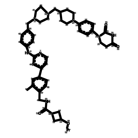 Cc1cc(-c2ccnc(Nc3ccc(CN4CCN(CC5CCN(c6ccc(N7CCC(=O)NC7=O)cc6)CC5)CC4)cc3)n2)ccc1CNC(=O)N1CC(OC(C)C)C1